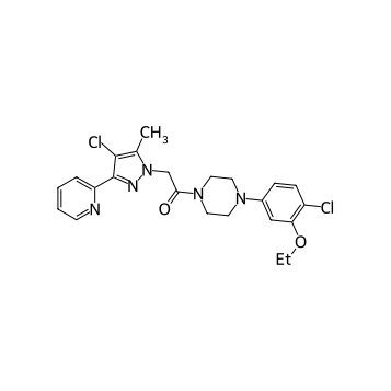 CCOc1cc(N2CCN(C(=O)Cn3nc(-c4ccccn4)c(Cl)c3C)CC2)ccc1Cl